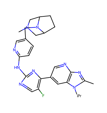 Cc1nc2ncc(-c3nc(Nc4ccc(CN5C6CCC5CN(C)C6)cn4)ncc3F)cc2n1C(C)C